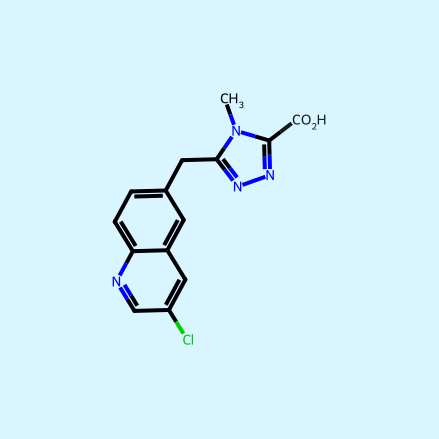 Cn1c(Cc2ccc3ncc(Cl)cc3c2)nnc1C(=O)O